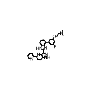 CN(C)CCOc1cc(F)cc(-c2cccc3[nH]c(-c4n[nH]c5ccc(-c6ccccn6)nc45)nc23)c1